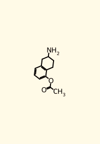 CC(=O)Oc1cccc2c1CCC(N)C2